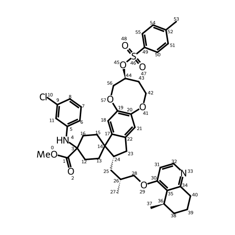 COC(=O)C1(Nc2cccc(Cl)c2)CCC2(CC1)c1cc3c(cc1C[C@@H]2C[C@@H](C)COc1ccnc2c1[C@H](C)CCC2)OCC[C@H](OS(=O)(=O)c1ccc(C)cc1)CO3